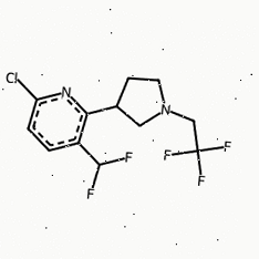 FC(F)c1ccc(Cl)nc1C1CCN(CC(F)(F)F)C1